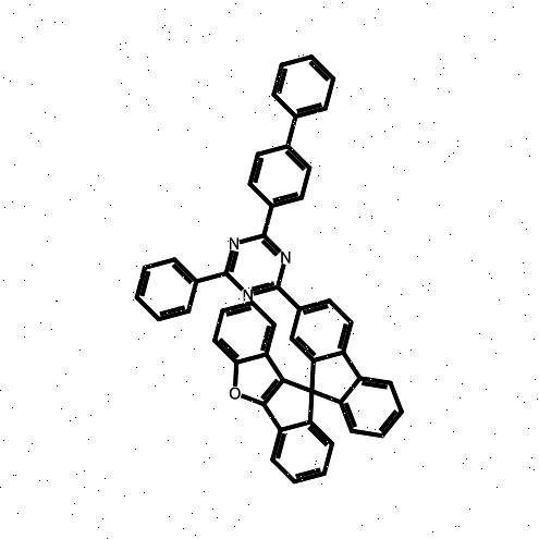 c1ccc(-c2ccc(-c3nc(-c4ccccc4)nc(-c4ccc5c(c4)C4(c6ccccc6-5)c5ccccc5-c5oc6ccccc6c54)n3)cc2)cc1